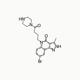 Cc1[nH]nc2c1c(=O)n(CCCC(=O)N1CCNCC1)c1ccc(Br)cc21